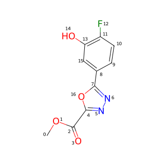 COC(=O)c1nnc(-c2ccc(F)c(O)c2)o1